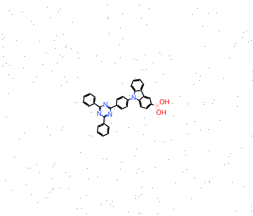 OB(O)c1ccc2c(c1)c1ccccc1n2-c1ccc(-c2nc(-c3ccccc3)nc(-c3ccccc3)n2)cc1